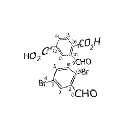 O=Cc1cc(Br)ccc1Br.O=Cc1cc(C(=O)O)ccc1C(=O)O